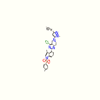 Cc1ccc(S(=O)(=O)n2cc(C)c3c(-c4nc(Cl)c5c(n4)CCN(c4cc(C(C)C)nn4C)C5)cccc32)cc1